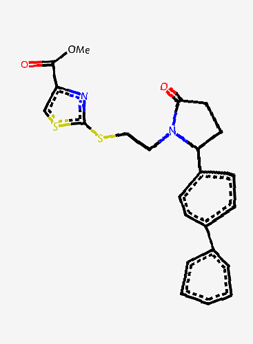 COC(=O)c1csc(SCCN2C(=O)CCC2c2ccc(-c3ccccc3)cc2)n1